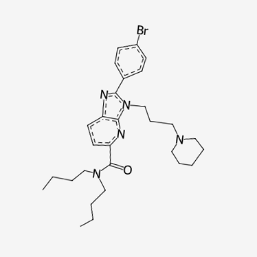 CCCCN(CCCC)C(=O)c1ccc2nc(-c3ccc(Br)cc3)n(CCCN3CCCCC3)c2n1